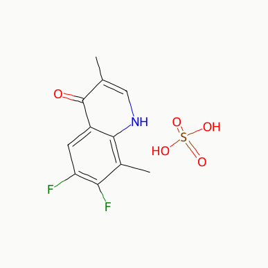 Cc1c[nH]c2c(C)c(F)c(F)cc2c1=O.O=S(=O)(O)O